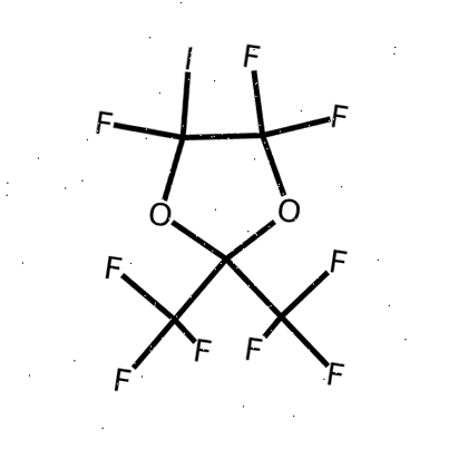 FC(F)(F)C1(C(F)(F)F)OC(F)(F)C(F)(I)O1